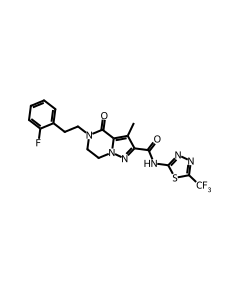 Cc1c(C(=O)Nc2nnc(C(F)(F)F)s2)nn2c1C(=O)N(CCc1ccccc1F)CC2